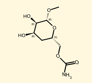 CO[C@@H]1O[C@H](COC(N)=O)C[C@@H](O)[C@H]1O